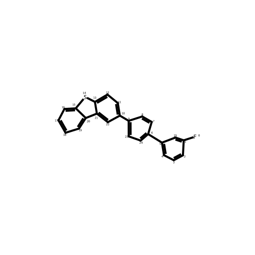 Fc1cccc(-c2ccc(-c3ccc4sc5ccccc5c4c3)cc2)c1